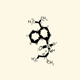 CC[C@@H](C)NS(=O)(=O)c1ccc(C(C)C)c2ccccc12